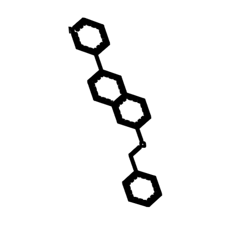 c1ccc(COc2ccc3cc(-c4cccnc4)ccc3c2)cc1